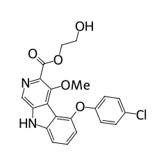 COc1c(C(=O)OCCO)ncc2[nH]c3cccc(Oc4ccc(Cl)cc4)c3c12